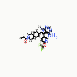 C=CC(=O)N1CCC2(CC=C(c3c(-c4ccc(OC(F)F)nc4)c4c(N)ncnc4n3C)CC2)CC1